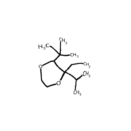 CCC1(C(C)C)OCCOC1C(C)(C)C